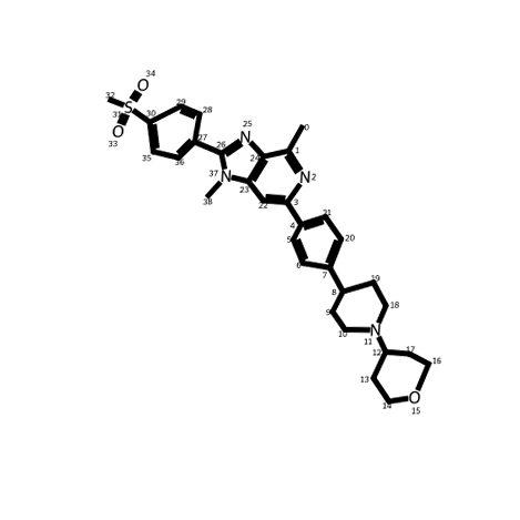 Cc1nc(-c2ccc(C3CCN(C4CCOCC4)CC3)cc2)cc2c1nc(-c1ccc(S(C)(=O)=O)cc1)n2C